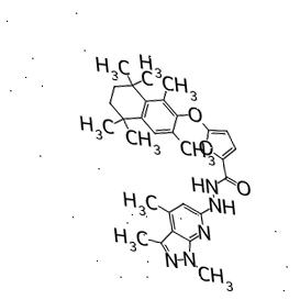 Cc1cc2c(c(C)c1Oc1ccc(C(=O)NNc3cc(C)c4c(C)nn(C)c4n3)o1)C(C)(C)CCC2(C)C